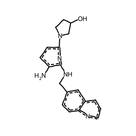 Nc1ccc(N2CCC(O)C2)nc1NCc1ccc2ncccc2c1